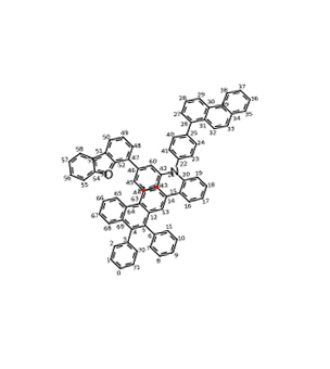 c1ccc(-c2c(-c3ccccc3)c3cc(-c4ccccc4N(c4ccc(-c5cccc6c5ccc5ccccc56)cc4)c4cccc(-c5cccc6c5oc5ccccc56)c4)ccc3c3ccccc23)cc1